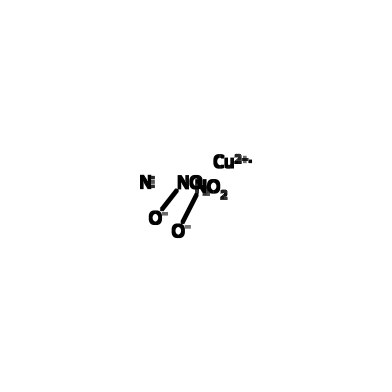 O=[N+]([O-])[O-].O=[N+]([O-])[O-].[Cu+2].[N]